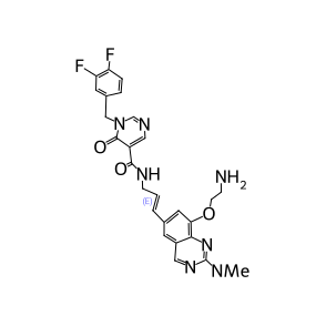 CNc1ncc2cc(/C=C/CNC(=O)c3cncn(Cc4ccc(F)c(F)c4)c3=O)cc(OCCN)c2n1